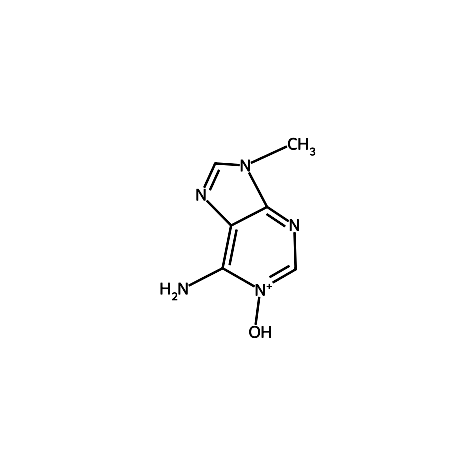 Cn1cnc2c(N)[n+](O)cnc21